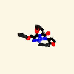 COC1OCC[C@@H]1NC(=O)[C@H](CC(C)C)NC(=O)[C@@H](N)COC(C)(C)C